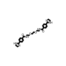 O=C(NCCOCCOCCNC(=O)c1ccc(C2=NCCN2)cc1)c1ccc(C2=NCCN2)cc1